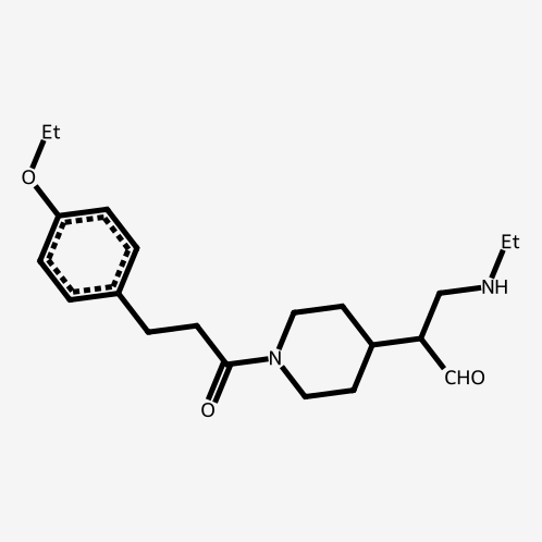 CCNCC(C=O)C1CCN(C(=O)CCc2ccc(OCC)cc2)CC1